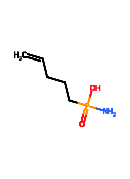 C=CCCCP(N)(=O)O